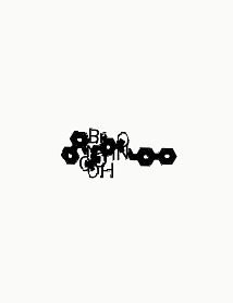 O=C(O)C(=O)N(Cc1ccc(C(=O)NCCc2ccc(-c3ccccc3)cc2)cc1Br)Cc1ccccc1-c1ccccc1